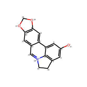 [O-]c1cc2c3c(c1)c1cc4c(cc1c[n+]3CC2)OCO4